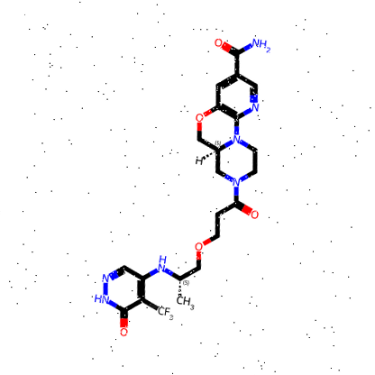 C[C@@H](COCCC(=O)N1CCN2c3ncc(C(N)=O)cc3OC[C@@H]2C1)Nc1cn[nH]c(=O)c1C(F)(F)F